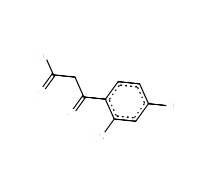 CC(C)C(=O)CC(=O)c1ccc(C(F)(F)F)cc1[N+](=O)[O-]